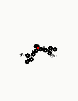 CC(C)(C)c1ccc(N(c2ccc3c(c2)sc2cc4c(cc23)-c2cc3c(cc2C42C4CC5CC(C4)CC2C5)sc2cc(N(c4ccc(C(C)(C)C)cc4)c4cccc5c4oc4ccccc45)ccc23)c2cccc3c2oc2ccccc23)cc1